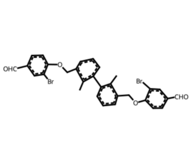 Cc1c(COc2ccc(C=O)cc2Br)cccc1-c1cccc(COc2ccc(C=O)cc2Br)c1C